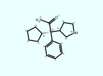 NC(=O)[C@@](c1ccccc1)(C1CCCC1)C1CCNC1